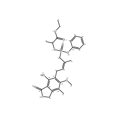 CCOC(=O)C(C)OP(=O)(CC(C)=CCc1c(O)c2c(c(C)c1OC)COC2=O)Oc1ccccc1